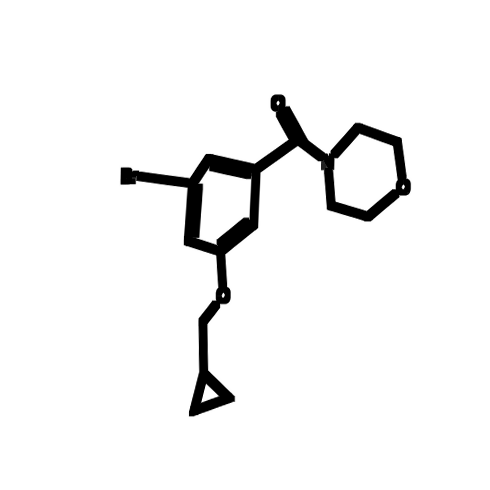 O=C(c1cc(Br)cc(OCC2CC2)c1)N1CCOCC1